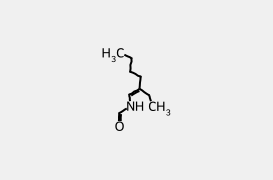 CCCCC(=CNC=O)CC